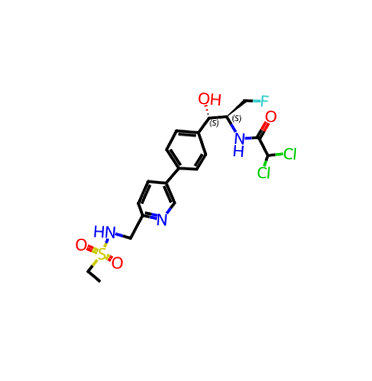 CCS(=O)(=O)NCc1ccc(-c2ccc([C@H](O)[C@@H](CF)NC(=O)C(Cl)Cl)cc2)cn1